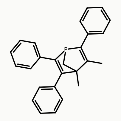 CC1=C(c2ccccc2)P2CC1(C)C(c1ccccc1)=C2c1ccccc1